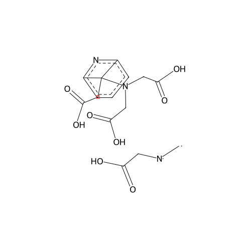 O=C(O)CN(CC(=O)O)C1(CC(=O)O)c2cccc1n2.[CH2][N]CC(=O)O